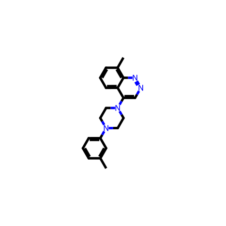 Cc1cccc(N2CCN(c3cnnc4c(C)cccc34)CC2)c1